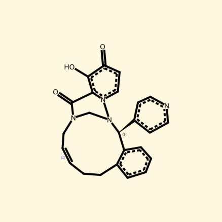 O=C1c2c(O)c(=O)ccn2N2CN1C/C=C\CCc1ccccc1[C@@H]2c1ccncc1